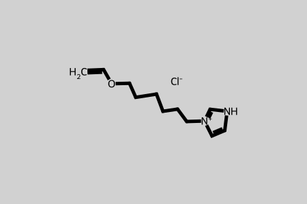 C=COCCCCCC[n+]1cc[nH]c1.[Cl-]